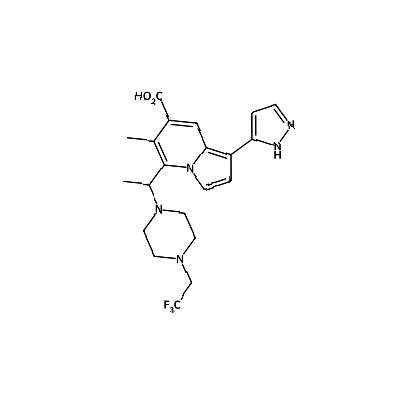 Cc1c(C(=O)O)cc2c(-c3ccn[nH]3)ccn2c1C(C)N1CCN(CC(F)(F)F)CC1